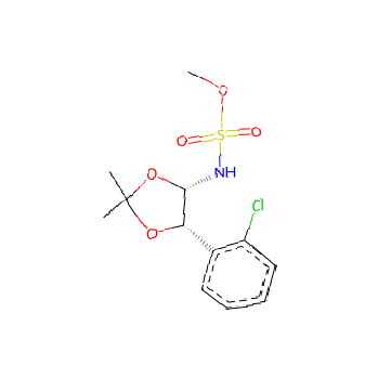 COS(=O)(=O)N[C@H]1OC(C)(C)O[C@H]1c1ccccc1Cl